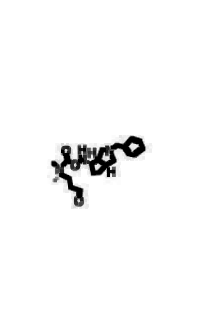 C[C@@H](CCC=O)N(C)C(=O)ON[C@H]1CC[C@H]2CN(Cc3ccccc3)C[C@H]21